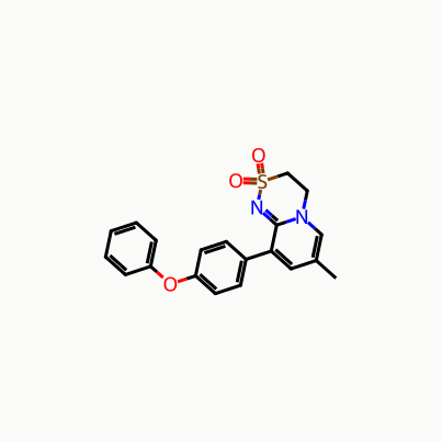 CC1=CN2CCS(=O)(=O)N=C2C(c2ccc(Oc3ccccc3)cc2)=C1